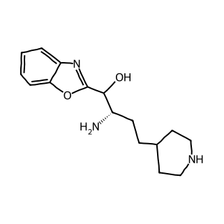 N[C@@H](CCC1CCNCC1)C(O)c1nc2ccccc2o1